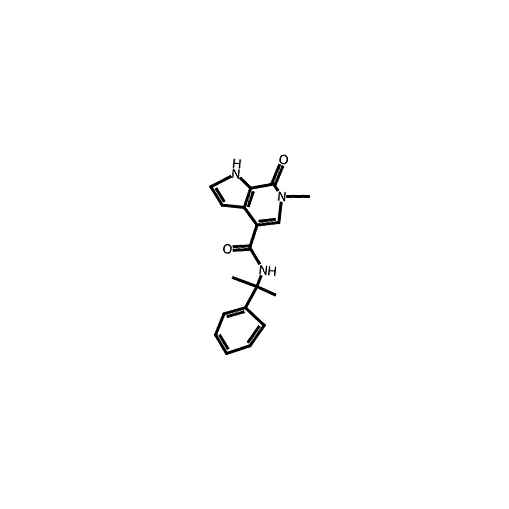 Cn1cc(C(=O)NC(C)(C)c2ccccc2)c2cc[nH]c2c1=O